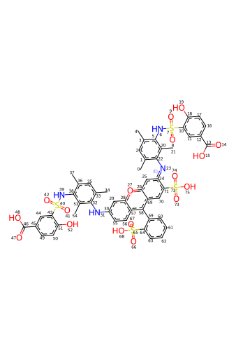 Cc1cc(C)c(NS(=O)(=O)c2cc(C(=O)O)ccc2O)c(C)c1/N=c1\cc2oc3cc(Nc4c(C)cc(C)c(NS(=O)(=O)c5cc(C(=O)O)ccc5O)c4C)ccc3c(-c3ccccc3S(=O)(=O)O)c-2cc1S(=O)(=O)O